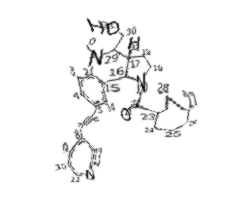 CN1c2ccc(C#Cc3cccnc3)cc2C2[C@@H](CCN2C(=O)C2CCCCC2)C1CO